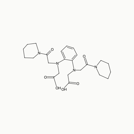 O=C(O)CN(CC(=O)N1CCCCC1)c1ccccc1N(CC(=O)O)CC(=O)N1CCCCC1